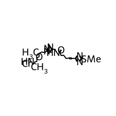 CSc1ncc(C#CCCCC(=O)NCc2cn(CCC(C)OCCC(C)NCl)nn2)cn1